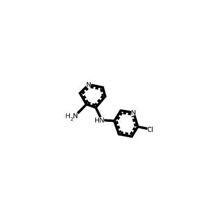 Nc1cnccc1Nc1ccc(Cl)nc1